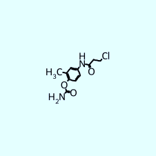 Cc1cc(NC(=O)CCCl)ccc1OC(N)=O